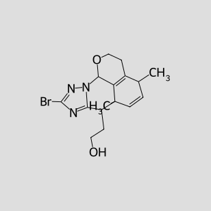 CC1C=CC2(C)C3=C1CCOC3n1nc(Br)nc1C2CCO